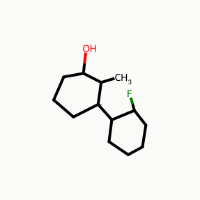 CC1[C](C2CCCCC2F)CCCC1O